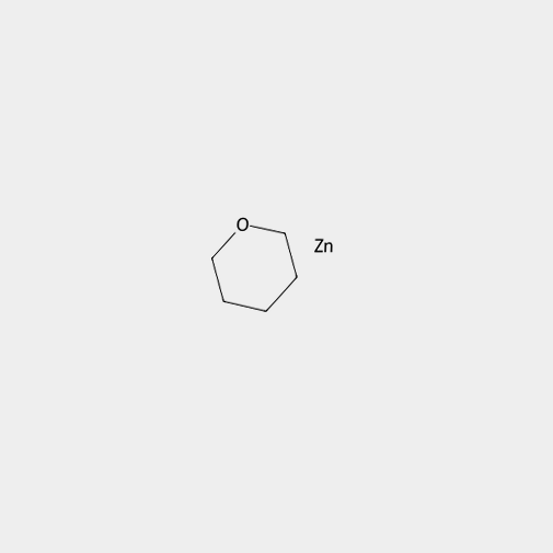 C1CCOCC1.[Zn]